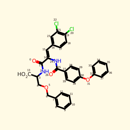 O=C(NC(COCc1ccccc1)C(=O)O)C(=Cc1ccc(Cl)c(Cl)c1)NC(=O)c1ccc(Oc2ccccc2)cc1